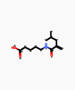 C=C(CC(C)C)C(=O)NCCCCC(=O)O